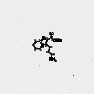 COC(=O)c1nc2ccccn2c1CCCN